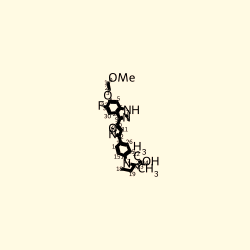 COCCOc1cc2[nH]nc(-c3cc(-c4ccc(N5CC[C@H]5C(C)(C)O)cc4)no3)c2cc1F